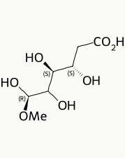 CO[C@@H](O)C(O)[C@@H](O)[C@@H](O)CC(=O)O